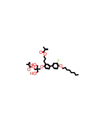 C=C(C)C(=O)OCCCc1cc(-c2ccc(OCCCCCCCC)c(F)c2)ccc1OCC(CO)(CO)COC(=O)C(=C)C